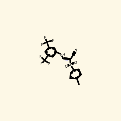 Cc1ccc(S(=O)(=O)/C(C#N)=C/Nc2cc(C(F)(F)F)cc(C(F)(F)F)c2)cc1